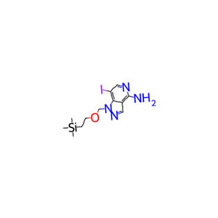 C[Si](C)(C)CCOCn1ncc2c(N)ncc(I)c21